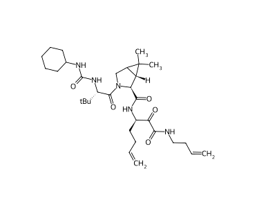 C=CCCNC(=O)C(=O)[C@@H](CCC=C)NC(=O)[C@@H]1[C@@H]2C(CN1C(=O)[C@@H](NC(=O)NC1CCCCC1)C(C)(C)C)C2(C)C